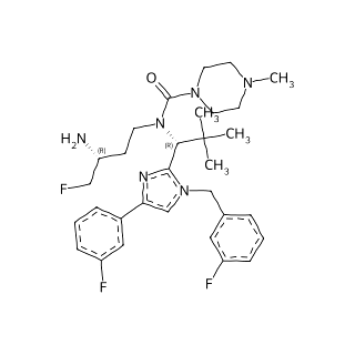 CN1CCN(C(=O)N(CC[C@@H](N)CF)[C@@H](c2nc(-c3cccc(F)c3)cn2Cc2cccc(F)c2)C(C)(C)C)CC1